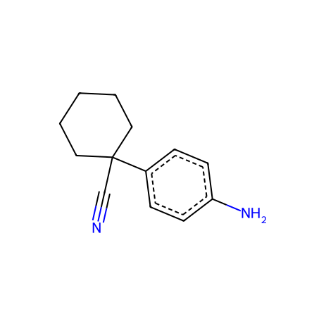 N#CC1(c2ccc(N)cc2)CCCCC1